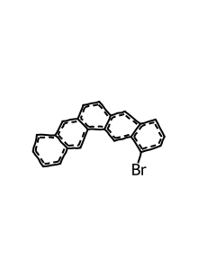 Brc1cccc2cc3ccc4cc5ccccc5cc4c3cc12